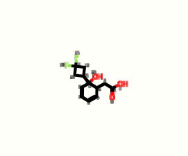 O=C(O)CC1C=CC=C[C@]1(O)C1CC(F)(F)C1